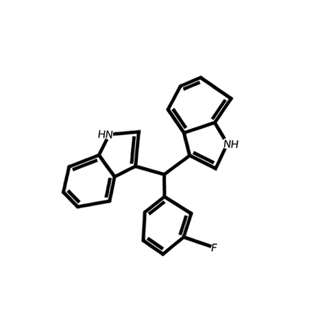 Fc1cccc(C(c2c[nH]c3ccccc23)c2c[nH]c3ccccc23)c1